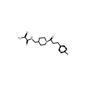 NC(=O)C(=O)NCC1CCN(C(=O)[CH]Cc2ccc(F)cc2)CC1